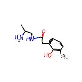 CC(N)CNC(=O)Cc1cccc(C(C)(C)C)c1O